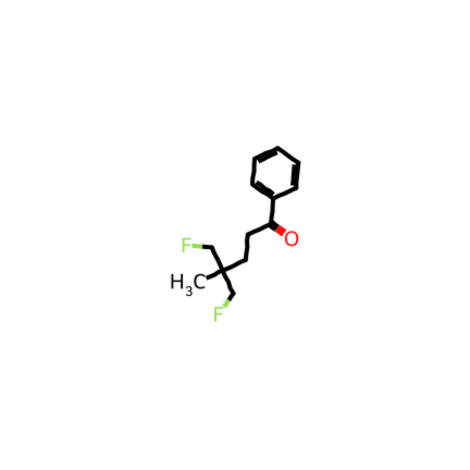 CC(CF)(CF)CCC(=O)c1ccccc1